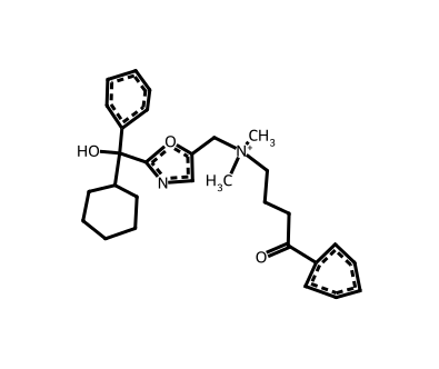 C[N+](C)(CCCC(=O)c1ccccc1)Cc1cnc(C(O)(c2ccccc2)C2CCCCC2)o1